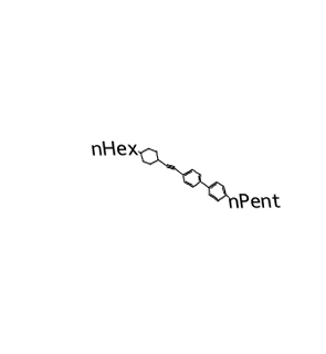 CCCCCCC1CCC(C#Cc2ccc(-c3ccc(CCCCC)cc3)cc2)CC1